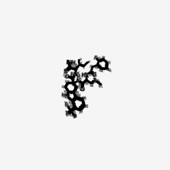 CC[C@H](C)C(NC(=O)[C@@]1(NC(=O)[C@H](CSC)NC(=O)Cc2ccccc2F)CCc2[nH]c3c(C(F)(F)F)cccc3c2C1)C(N)=S